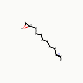 C/C=C/CCCCCCCC1CO1